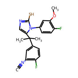 [C-]#[N+]c1cc(C(C)(C)c2cnc(S)n2-c2ccc(F)c(OC)c2)ccc1F